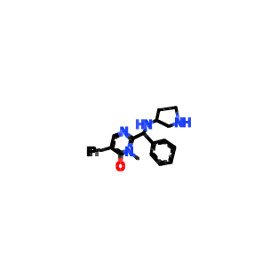 CC(C)c1cnc([C@@H](NC2CCNC2)c2ccccc2)n(C)c1=O